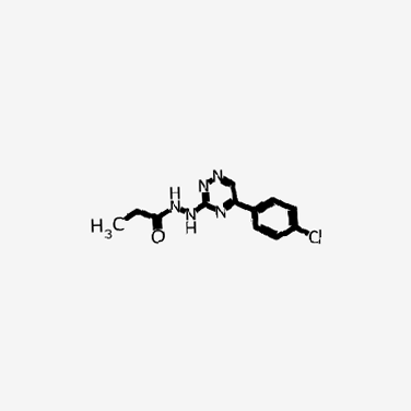 CCC(=O)NNc1nncc(-c2ccc(Cl)cc2)n1